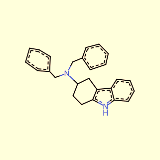 c1ccc(CN(Cc2ccccc2)C2CCc3[nH]c4ccccc4c3C2)cc1